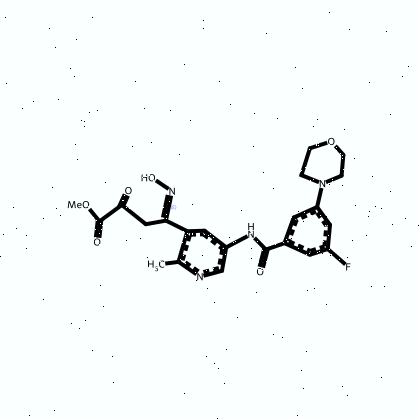 COC(=O)C(=O)C/C(=N\O)c1cc(NC(=O)c2cc(F)cc(N3CCOCC3)c2)cnc1C